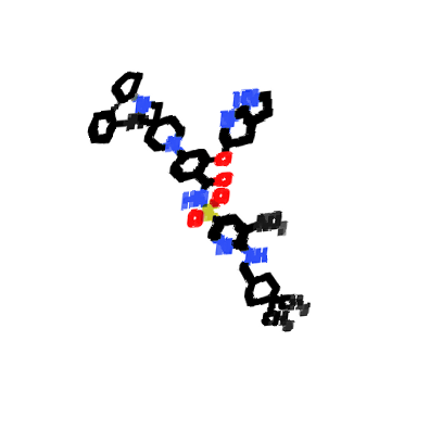 CC(C)c1ccccc1[C@@H]1CCC[C@@H]1N1CC2(CCN(c3ccc(C(=O)NS(=O)(=O)c4cnc(NCC5CCC(C)(C)CC5)c([N+](=O)[O-])c4)c(Oc4cnc5[nH]ccc5c4)c3)CC2)C1